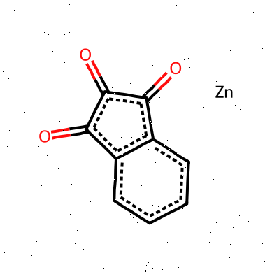 O=c1c(=O)c2ccccc2c1=O.[Zn]